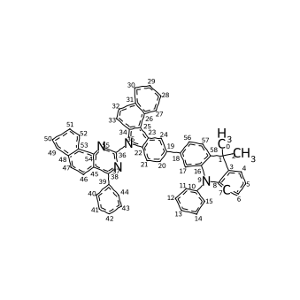 CC1(C)c2ccccc2N(c2ccccc2)c2cc(-c3ccc4c(c3)c3c5ccccc5ccc3n4-c3nc(-c4ccccc4)c4ccc5ccccc5c4n3)ccc21